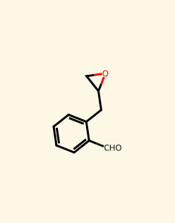 O=Cc1ccccc1CC1CO1